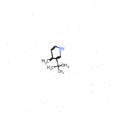 C=C1C=CNC=C1C(C)(C)C